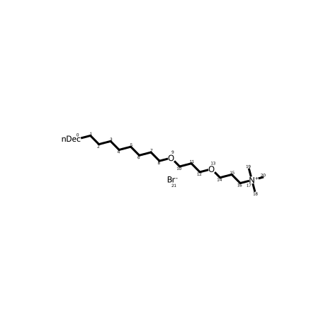 CCCCCCCCCCCCCCCCCCOCCCOCCC[N+](C)(C)C.[Br-]